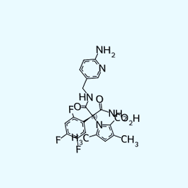 Cc1cc(C)n([C@@](C(N)=O)(C(=O)NCc2ccc(N)nc2)c2cc(F)c(F)cc2F)c1C(=O)O